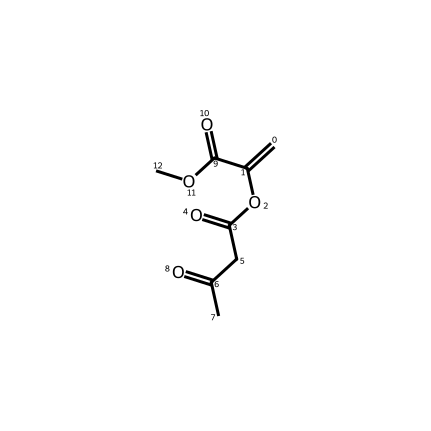 C=C(OC(=O)CC(C)=O)C(=O)OC